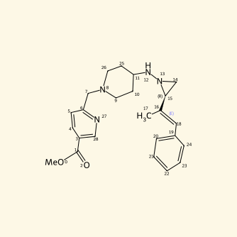 COC(=O)c1ccc(CN2CCC(NN3C[C@H]3/C(C)=C/c3ccccc3)CC2)nc1